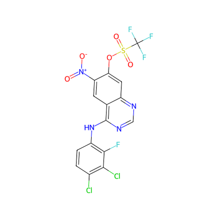 O=[N+]([O-])c1cc2c(Nc3ccc(Cl)c(Cl)c3F)ncnc2cc1OS(=O)(=O)C(F)(F)F